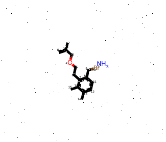 C=C(C)COCCc1c(CBr)ccc(C)c1C.N